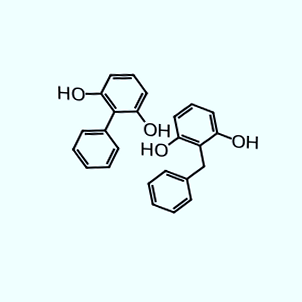 Oc1cccc(O)c1-c1ccccc1.Oc1cccc(O)c1Cc1ccccc1